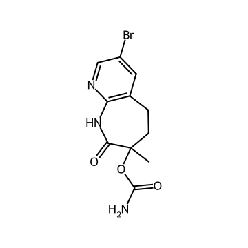 CC1(OC(N)=O)CCc2cc(Br)cnc2NC1=O